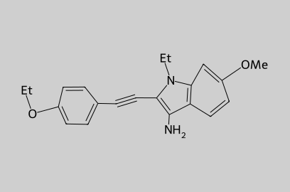 CCOc1ccc(C#Cc2c(N)c3ccc(OC)cc3n2CC)cc1